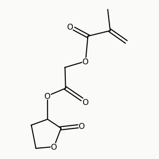 C=C(C)C(=O)OCC(=O)OC1CCOC1=O